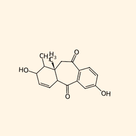 CC1C(O)C=CC2C(=O)c3cc(O)ccc3C(=O)C[C@]21C